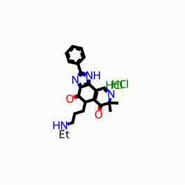 CCNCCCC1C(=O)c2nc(-c3ccccc3)[nH]c2C2=C1C(=O)C(C)(C)N=C2.Cl.Cl